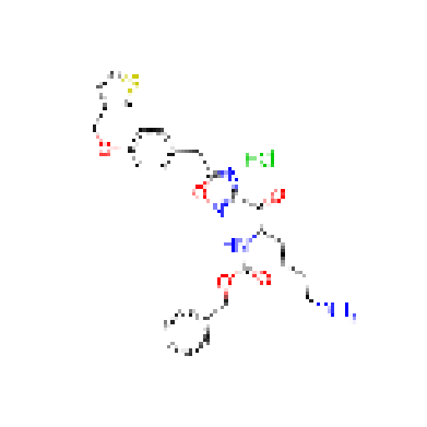 CC(Oc1ccc(Cc2nc(C(=O)C(CCCCN)NC(=O)OCc3ccccc3)no2)cc1)c1ccsc1.Cl